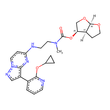 CN(CCNc1ccn2ncc(-c3cccnc3OC3CC3)c2n1)C(=O)O[C@H]1CO[C@H]2OCC[C@H]21